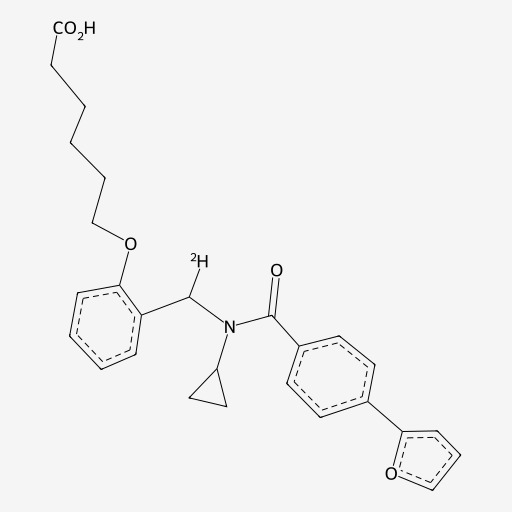 [2H]C(c1ccccc1OCCCCCC(=O)O)N(C(=O)c1ccc(-c2ccco2)cc1)C1CC1